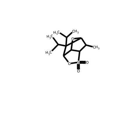 CC1C2OC3C(OS(=O)(=O)C13)C2(C(C)C)C(C)C